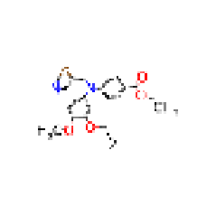 CCOC(=O)c1ccc(N(Cc2cncs2)c2ccc(OC)c(OCC3CC3)c2)cc1